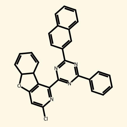 Clc1cc2c(c(-c3nc(-c4ccccc4)nc(-c4ccc5ccccc5c4)n3)n1)C1C=CC=CC1O2